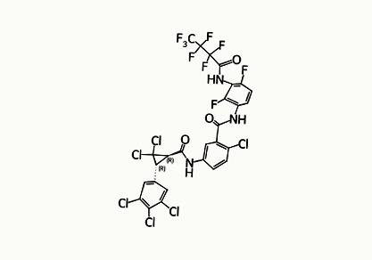 O=C(Nc1ccc(F)c(NC(=O)C(F)(F)C(F)(F)C(F)(F)F)c1F)c1cc(NC(=O)[C@H]2[C@H](c3cc(Cl)c(Cl)c(Cl)c3)C2(Cl)Cl)ccc1Cl